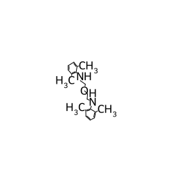 Cc1cccc(C)c1NCCOCCNc1c(C)cccc1C